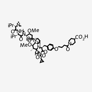 CC[C@H](C)[C@@H]([C@@H](CC(=O)N1CCC[C@H]1[C@H](OC)[C@@H](C)C(=O)N[C@@H](Cc1ccc(OCCCC(=O)N2CCC(C(=O)O)CC2)cc1)C(=O)NS(=O)(=O)C1CC1)OC)N(C)C(=O)[C@@H](NC(=O)[C@H](C(C)C)N(C)C)C(C)C